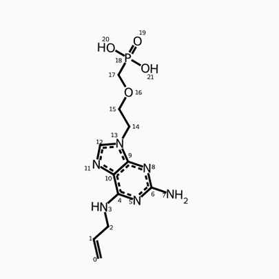 C=CCNc1nc(N)nc2c1ncn2CCOCP(=O)(O)O